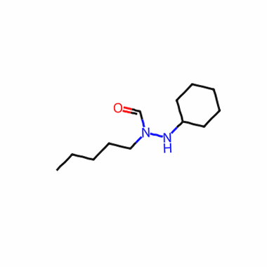 CCCCCN(C=O)NC1CCCCC1